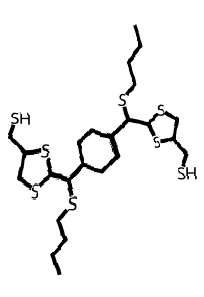 CCCCSC(C1CCC(C(SCCCC)C2SCC(CS)S2)CC1)C1SCC(CS)S1